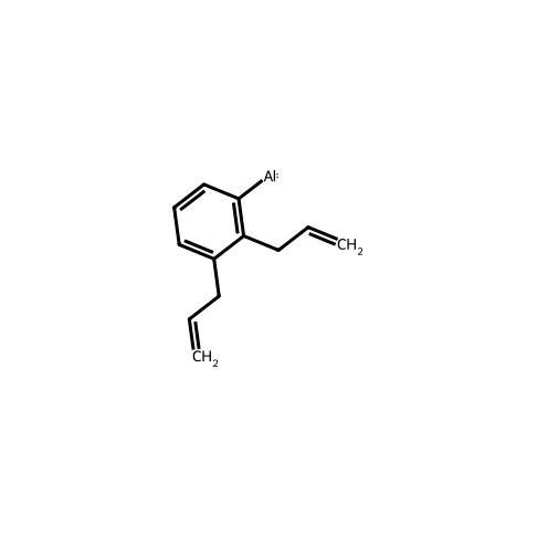 C=CCc1ccc[c]([Al])c1CC=C